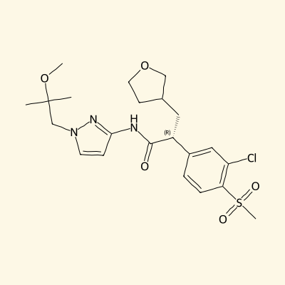 COC(C)(C)Cn1ccc(NC(=O)[C@H](CC2CCOC2)c2ccc(S(C)(=O)=O)c(Cl)c2)n1